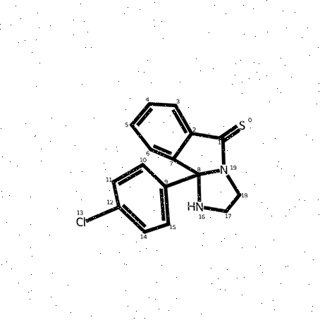 S=C1c2ccccc2C2(c3ccc(Cl)cc3)NCCN12